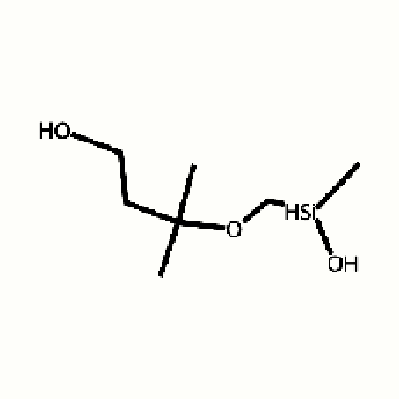 C[SiH](O)COC(C)(C)CCO